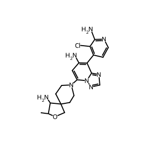 CC1OCC2(CCN(c3cc(N)c(-c4ccnc(N)c4Cl)c4ncnn34)CC2)C1N